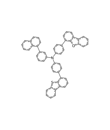 c1cc(-c2cccc3ccccc23)cc(N(c2ccc(-c3cccc4c3oc3ccccc34)cc2)c2ccc(-c3cccc4c3sc3ccccc34)cc2)c1